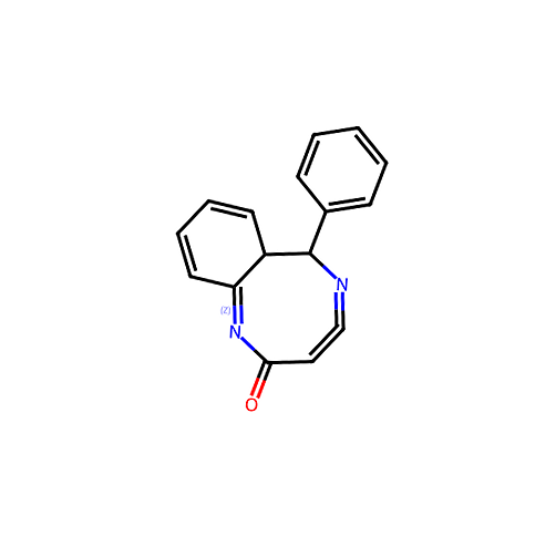 O=C1C=C=NC(c2ccccc2)C2C=CC=C/C2=N/1